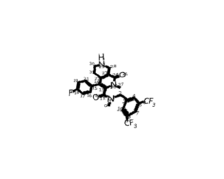 CN(Cc1cc(C(F)(F)F)cc(C(F)(F)F)c1)C(=O)c1c(-c2ccc(F)cc2)c2c(c(=O)n1C)CNCC2